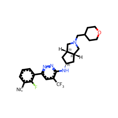 N#Cc1cccc(-c2cc(C(F)(F)F)c(N[C@@H]3C[C@@H]4CN(CC5CCOCC5)C[C@@H]4C3)nn2)c1F